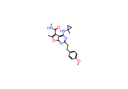 CNC(=O)c1c(C)oc2nc(CCc3ccc(OC)cc3)nc(NC3(C)CC3)c12